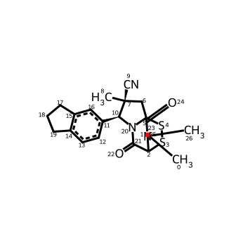 CC1C2SSC3(C[C@](C)(C#N)[C@H](c4ccc5c(c4)CCC5)N3C2=O)C(=O)N1C